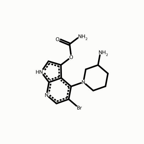 NC(=O)Oc1c[nH]c2ncc(Br)c(N3CCCC(N)C3)c12